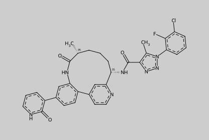 Cc1c(C(=O)N[C@H]2CCC[C@@H](C)C(=O)Nc3cc(-c4ccc[nH]c4=O)ccc3-c3ccnc2c3)nnn1-c1cccc(Cl)c1F